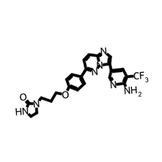 Nc1ncc(-c2cnc3ccc(-c4ccc(OCCCN5CCNC5=O)cc4)nn23)cc1C(F)(F)F